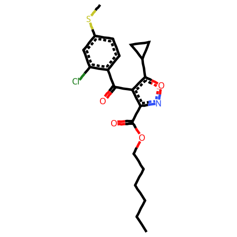 CCCCCCOC(=O)c1noc(C2CC2)c1C(=O)c1ccc(SC)cc1Cl